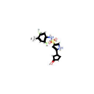 O=C1CCC(c2cc(S(=O)(=O)Nc3cc(F)c(C(F)(F)F)cc3F)c[nH]2)C1